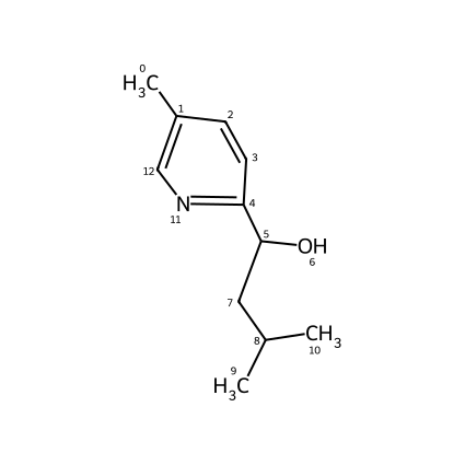 Cc1ccc(C(O)CC(C)C)nc1